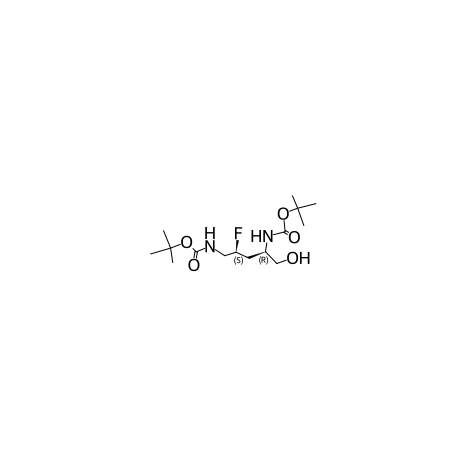 CC(C)(C)OC(=O)NC[C@@H](F)C[C@H](CO)NC(=O)OC(C)(C)C